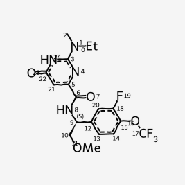 CCN(C)c1nc(C(=O)N[C@H](COC)c2ccc(OC(F)(F)F)c(F)c2)cc(=O)[nH]1